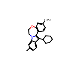 COc1ccc2c(c1)OCCn1c-2c(C2CCCCC2)c2ccc(C)cc21